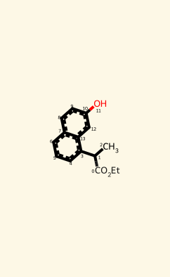 CCOC(=O)C(C)c1cccc2ccc(O)cc12